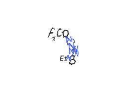 CCn1c2ccccc2c2nnc(N3CCN(c4cccc(C(F)(F)F)c4)CC3)nc21